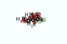 COc1cc(-c2ccc(OS(C)(=O)=O)cc2)c(OC)c(OS(C)(=O)=O)c1-c1ccc(OC(Cl)Cl)c(OS(C)(=O)=O)c1